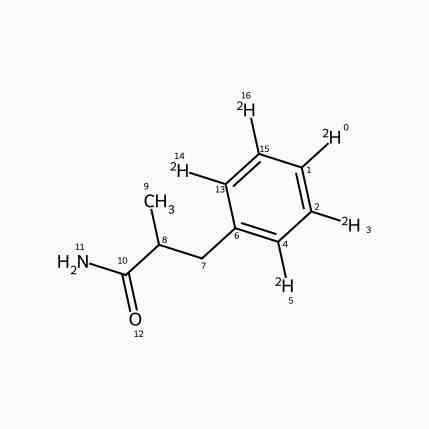 [2H]c1c([2H])c([2H])c(CC(C)C(N)=O)c([2H])c1[2H]